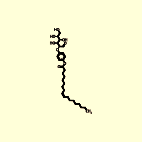 CCCCCCCC/C=C\CCCCCCCC(=O)Oc1ccc(O[C@@H](C=O)[C@@H](O)[C@H](O)[C@H](O)CO)cc1